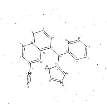 [C-]#[N+]c1cnc2cccc(C(c3ccccn3)c3cnc[nH]3)c2c1